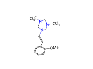 COc1ccccc1C=CN1CN(C(Cl)(Cl)Cl)CN(C(Cl)(Cl)Cl)C1